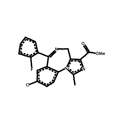 COC(=O)c1nc(C)n2c1CN=C(c1ccccc1F)c1cc(Cl)ccc1-2